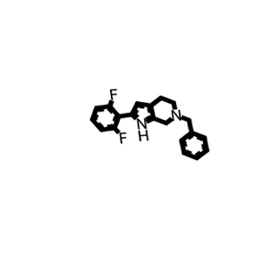 Fc1cccc(F)c1-c1cc2c([nH]1)CN(Cc1ccccc1)CC2